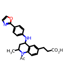 CC(=O)N1c2ccc(CCC(=O)O)cc2C(Nc2ccc(-c3ncco3)cc2)CC1C